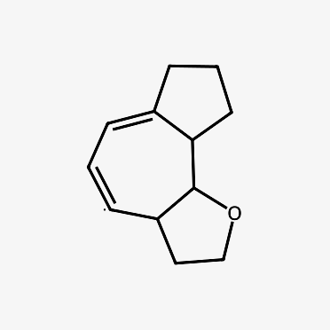 [C]1=CC=C2CCCC2C2OCCC12